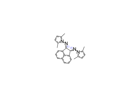 Cc1ccc(C)n1/N=C1/C(=N/n2c(C)ccc2C)c2cccc3cccc1c23